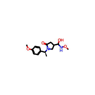 CONC(O)C1CC(=O)N([C@@H](C)c2ccc(OC)cc2)C1